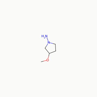 COC1CCN(N)C1